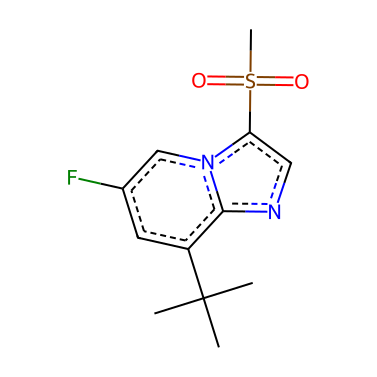 CC(C)(C)c1cc(F)cn2c(S(C)(=O)=O)cnc12